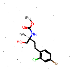 CCC[C@@](CO)(CCc1ccc(Br)cc1Cl)NC(=O)OC(C)(C)C